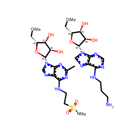 CNS(=O)(=O)CCNc1nc(C)nc2c1ncn2[C@@H]1O[C@H](COC)[C@@H](O)[C@H]1O.COC[C@H]1O[C@@H](n2cnc3c(NCCCN)ncnc32)[C@H](O)[C@@H]1O